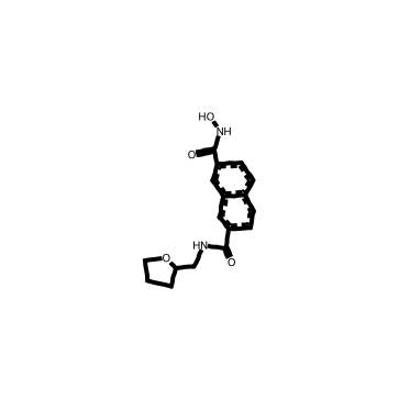 O=C(NO)c1ccc2ccc(C(=O)NCC3CCCO3)cc2c1